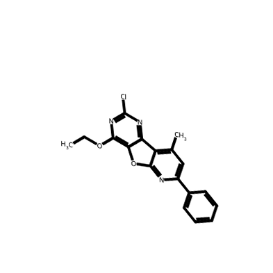 CCOc1nc(Cl)nc2c1oc1nc(-c3ccccc3)cc(C)c12